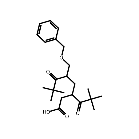 CC(C)(C)C(=O)C(COCc1ccccc1)CC(CC(=O)O)C(=O)C(C)(C)C